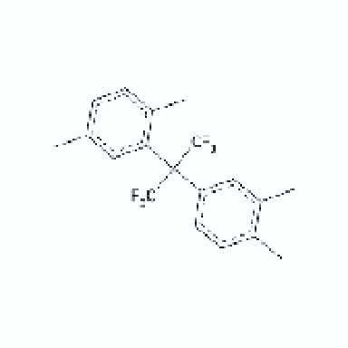 Cc1ccc(C)c(C(c2ccc(C)c(C)c2)(C(F)(F)F)C(F)(F)F)c1